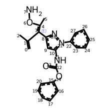 C=C(C)/C(=C(/C)ON)c1cc(NC(=O)Oc2ccccc2)n(-c2ccccc2)n1